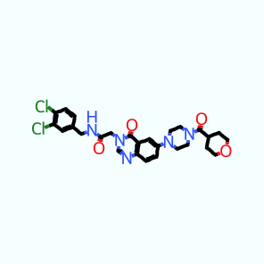 O=C(Cn1cnc2ccc(N3CCN(C(=O)C4CCOCC4)CC3)cc2c1=O)NCc1ccc(Cl)c(Cl)c1